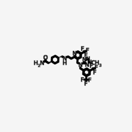 Cn1nnc(N(Cc2cc(C(F)(F)F)cc(C(F)(F)F)c2)Cc2cc(C(F)(F)F)cnc2CCNC[C@H]2CC[C@H](CC(N)=O)CC2)n1